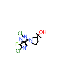 CC(C)(O)C1CCCN(c2nc(Cl)nc3c(F)c(Cl)ncc23)C1